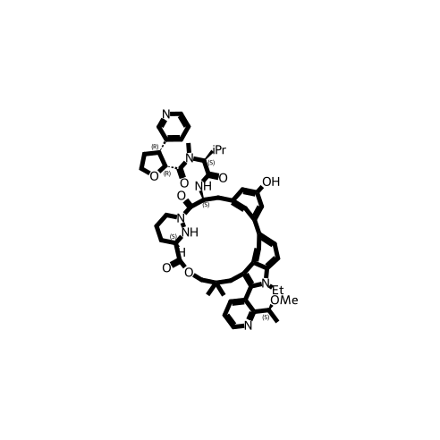 CCn1c(-c2cccnc2[C@H](C)OC)c2c3cc(ccc31)-c1cc(O)cc(c1)C[C@H](NC(=O)[C@H](C(C)C)N(C)C(=O)[C@@H]1OCC[C@@H]1c1cccnc1)C(=O)N1CCC[C@H](N1)C(=O)OCC(C)(C)C2